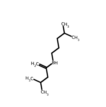 C=C(BCCCC(C)C)CC(C)C